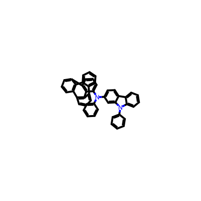 c1ccc(N(c2ccc3c4ccccc4n(-c4ccccc4)c3c2)c2cccc3c2-c2c4cccc2-c2cccc-3c2-c2ccccc2-4)cc1